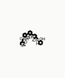 COc1nc(-c2cccc(-c3cccc(NC(=O)c4ccnn(C)c4=O)c3Cl)c2Cl)ccc1CNC1CCCC[C@H]1O